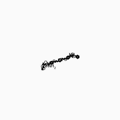 CC(C)[C@@H](NC(=O)OC(C)(C)C)C(=O)O/N=C(\N)c1ccc(OCCCC2CCN(CCCOc3ccc(/C(N)=N/C(=O)OCc4ccccc4)cc3)CC2)cc1